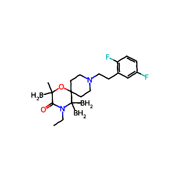 BC1(C)OC2(CCN(CCc3cc(F)ccc3F)CC2)C(B)(B)N(CC)C1=O